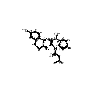 CC(C)CC(=O)Nc1nc2c(nc1C(O)c1ccccc1)-c1ccc(F)cc1CC2